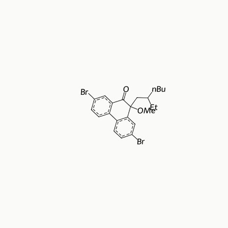 CCCCC(CC)CC1(OC)C(=O)c2cc(Br)ccc2-c2ccc(Br)cc21